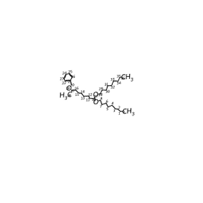 CCCCCCCCCOC(CCCCCCC(C)OCc1ccccc1)OCCCCCCCCC